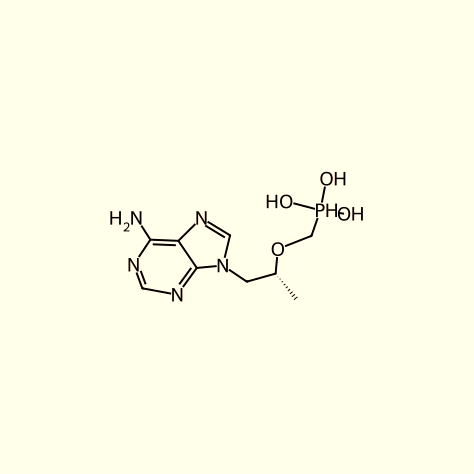 C[C@H](Cn1cnc2c(N)ncnc21)OC[PH](O)(O)O